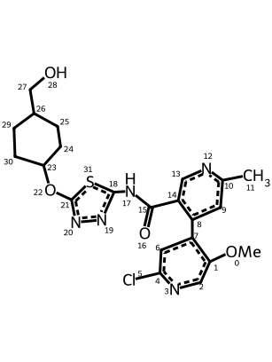 COc1cnc(Cl)cc1-c1cc(C)ncc1C(=O)Nc1nnc(OC2CCC(CO)CC2)s1